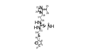 CNC.Cc1ccc(CSCCNC(=S)NCCCn2ccnc2C(C)C)o1